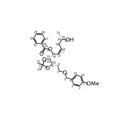 COc1ccc(COCC[C@@H]2OC(C)(C)O[C@@H]2C(/C=C\C[C@H](C)O)OC(=O)c2ccccc2)cc1